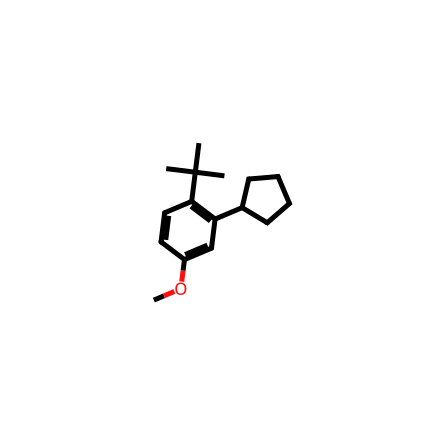 COc1ccc(C(C)(C)C)c(C2CCCC2)c1